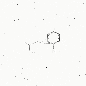 CC(O)CSc1ccccc1[N+](=O)[O-]